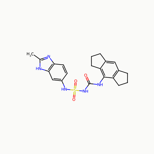 Cc1nc2ccc(NS(=O)(=O)NC(=O)Nc3c4c(cc5c3CCC5)CCC4)cc2[nH]1